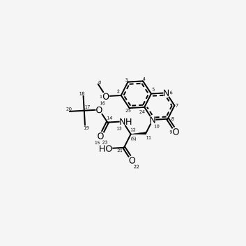 COc1ccc2ncc(=O)n(C[C@H](NC(=O)OC(C)(C)C)C(=O)O)c2c1